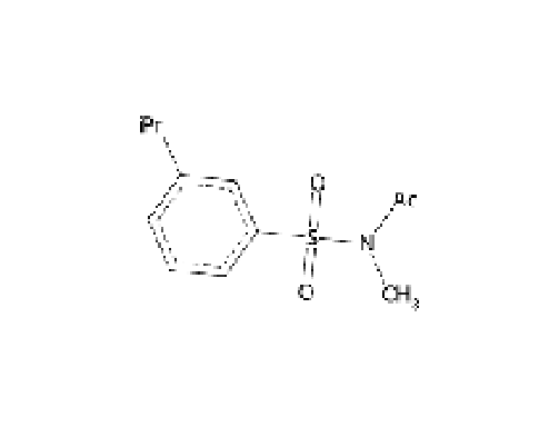 CC(=O)N(C)S(=O)(=O)c1cccc(C(C)C)c1